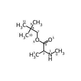 CNC(C)C(=O)OCC(C)(C)C